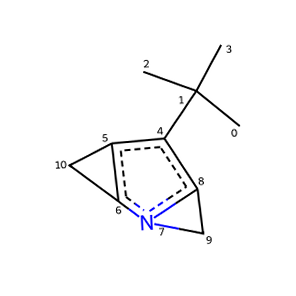 CC(C)(C)c1c2c(n3c1C3)C2